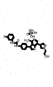 Nc1ncc(-c2cnn(CCO)c2)c2scc(-c3ccc(NC(=O)Nc4cccc(F)c4)cc3)c12.O=P(O)(O)O